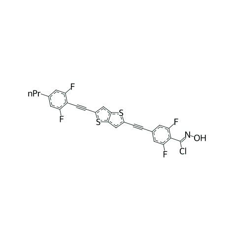 CCCc1cc(F)c(C#Cc2cc3sc(C#Cc4cc(F)c(/C(Cl)=N/O)c(F)c4)cc3s2)c(F)c1